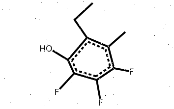 CCc1c(C)c(F)c(F)c(F)c1O